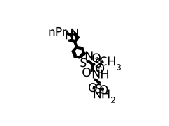 CCCn1cc(-c2ccc3sc(C(C(=O)NCCS(N)(=O)=O)S(C)(=O)=O)nc3c2)cn1